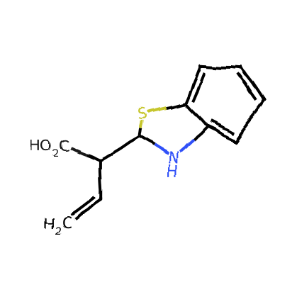 C=CC(C(=O)O)C1Nc2ccccc2S1